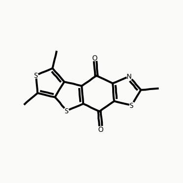 Cc1nc2c(s1)C(=O)c1sc3c(C)sc(C)c3c1C2=O